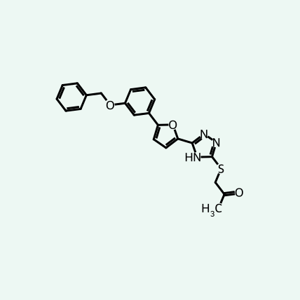 CC(=O)CSc1nnc(-c2ccc(-c3cccc(OCc4ccccc4)c3)o2)[nH]1